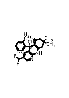 Cc1ccccc1[C@@]1(C)C2=C(CC(C)(C)CC2=O)Nc2ncc(C(F)F)c(C#N)c21